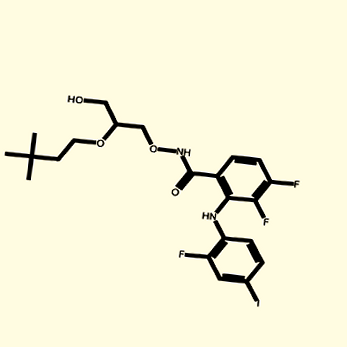 CC(C)(C)CCOC(CO)CONC(=O)c1ccc(F)c(F)c1Nc1ccc(I)cc1F